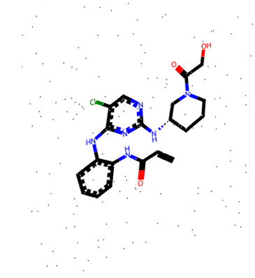 C=CC(=O)Nc1ccccc1Nc1nc(N[C@H]2CCCN(C(=O)CO)C2)ncc1Cl